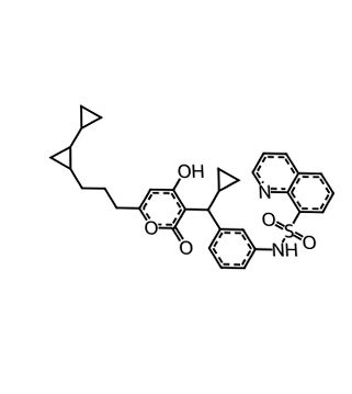 O=c1oc(CCCC2CC2C2CC2)cc(O)c1C(c1cccc(NS(=O)(=O)c2cccc3cccnc23)c1)C1CC1